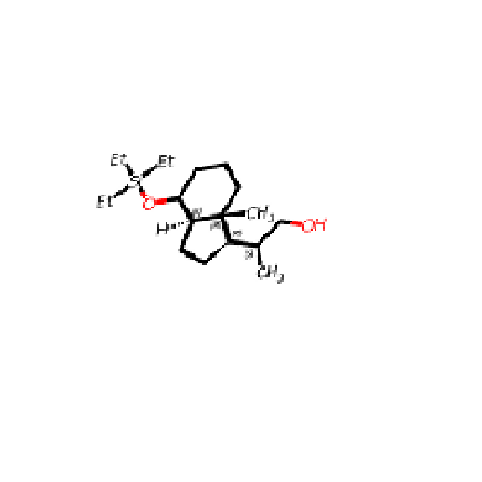 CC[Si](CC)(CC)OC1CCC[C@]2(C)[C@@H]([C@H](C)CO)CC[C@@H]12